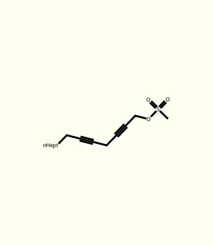 CCCCCCCCC#CCC#CCOS(C)(=O)=O